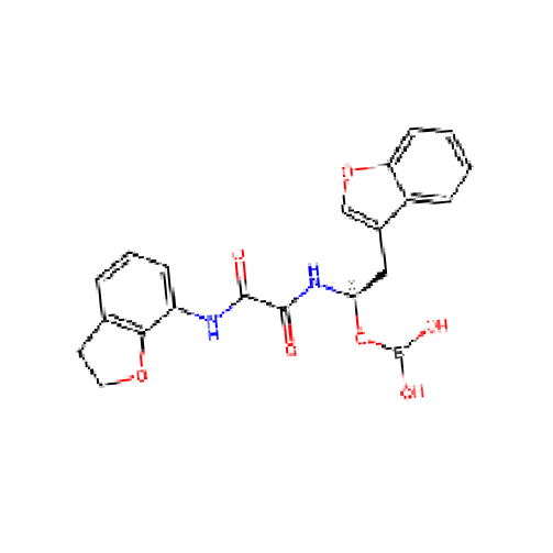 O=C(Nc1cccc2c1OCC2)C(=O)N[C@@H](Cc1coc2ccccc12)OB(O)O